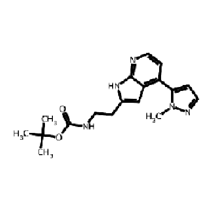 Cn1nccc1-c1ccnc2[nH]c(CCNC(=O)OC(C)(C)C)cc12